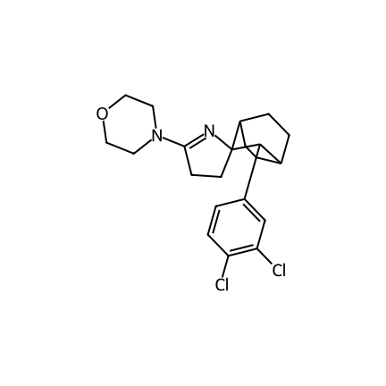 Clc1ccc(C2C3CCC(CC3)C23CCC(N2CCOCC2)=N3)cc1Cl